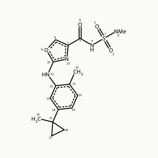 CNS(=O)(=O)NC(=O)c1coc(Nc2cc(C3(C)CC3)ccc2C)n1